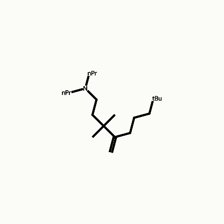 C=C(CCCC(C)(C)C)C(C)(C)CCN(CCC)CCC